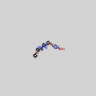 OCCN1CCN(CCCOc2cccc(Nc3nccc(-c4cnc(-c5cccc(OCc6ccccc6)c5)[nH]4)n3)c2)CC1